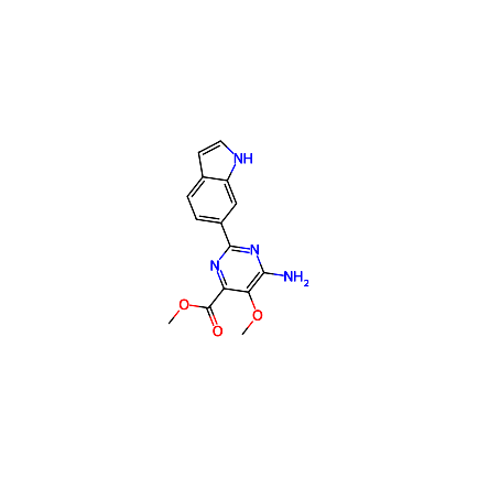 COC(=O)c1nc(-c2ccc3cc[nH]c3c2)nc(N)c1OC